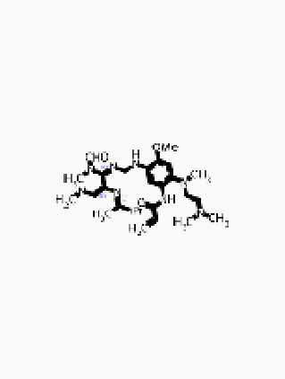 C=CC(=O)Nc1cc(NC\N=C(C(=C\N=C)/N=C(\C)C(C)C)\N(C)C=O)c(OC)cc1N(C)CCN(C)C